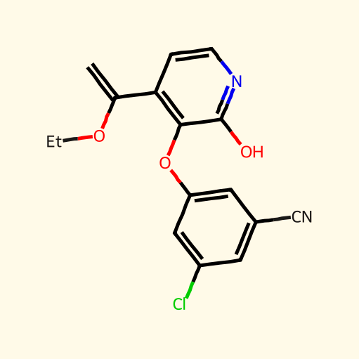 C=C(OCC)c1ccnc(O)c1Oc1cc(Cl)cc(C#N)c1